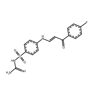 N=C(N)NS(=O)(=O)c1ccc(N/C=C/C(=O)c2ccc(F)cc2)cc1